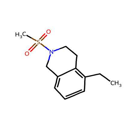 CCc1cccc2c1CCN(S(C)(=O)=O)C2